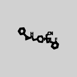 N#CCC1(N2CCC(CNC3CC3c3ccccc3)CC2)CN(c2ccccc2F)C1